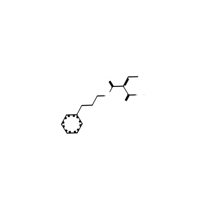 CC=C(C(=O)O)C(=O)OCCCc1ccccc1